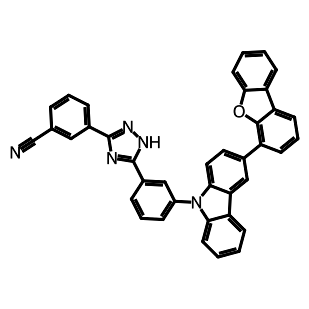 N#Cc1cccc(-c2n[nH]c(-c3cccc(-n4c5ccccc5c5cc(-c6cccc7c6oc6ccccc67)ccc54)c3)n2)c1